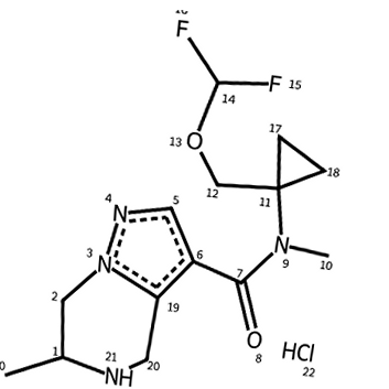 CC1Cn2ncc(C(=O)N(C)C3(COC(F)F)CC3)c2CN1.Cl